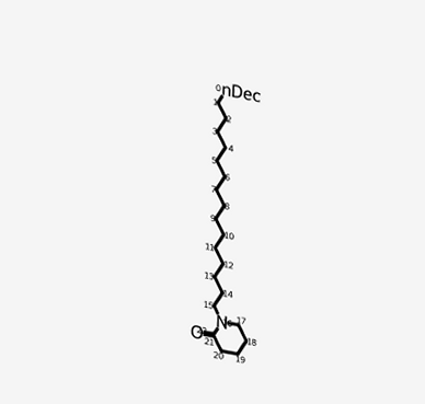 CCCCCCCCCCCCCCCCCCCCCCCCCN1CCCCC1=O